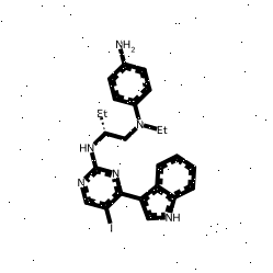 CC[C@H](CN(CC)c1ccc(N)cc1)Nc1ncc(I)c(-c2c[nH]c3ccccc23)n1